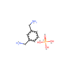 NCc1cccc(CN)c1.O=P(O)(O)O